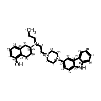 CCCN(CCN1CCN(c2ccc3[nH]c4ccccc4c3c2)CC1)[C@H]1CCc2c(O)cccc2C1